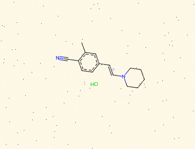 Cc1cc(/C=C/N2CCCCC2)ccc1C#N.Cl